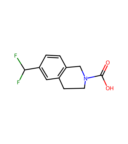 O=C(O)N1CCc2cc(C(F)F)ccc2C1